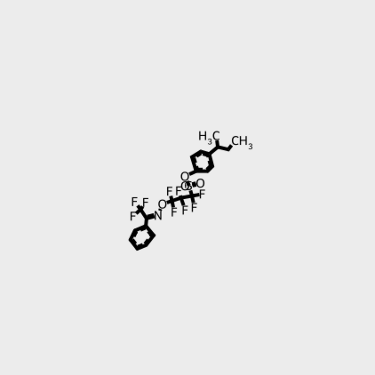 CCC(C)c1ccc(OS(=O)(=O)C(F)(F)C(F)(F)C(F)(F)O/N=C(/c2ccccc2)C(F)(F)F)cc1